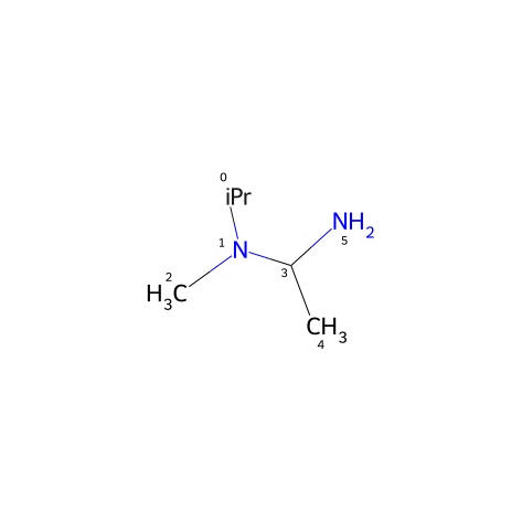 CC(C)N(C)C(C)N